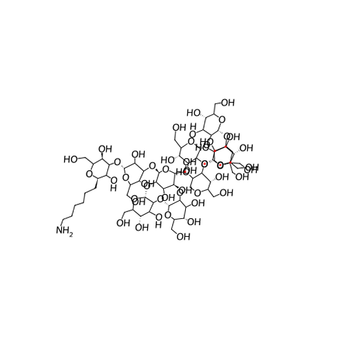 NCCCCCC[C@H]1OC(CO)[C@@H](O)C(O[C@H]2OC(CO)[C@@H](O)C(O[C@H]3OC(CO)[C@@H](O)C(O)C3O[C@H]3OC(CO)[C@@H](O)C(O)C3O[C@H]3OC(CO)[C@@H](O)C(O)C3O[C@H]3OC(CO)[C@@H](O)C(O[C@H]4OC(CO)[C@@H](O)C(O[C@H]5OC(CO)[C@@H](O)C(O)C5O[C@H]5OC(CO)[C@@H](O)C(O)C5O[C@H]5OC(CO)(CO)CC(O)C5O)C4O)C3O)C2O)C1O